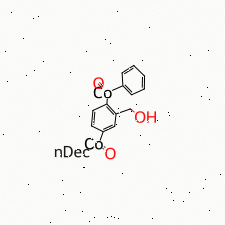 CCCCCCCCC[CH2][Co](=[O])[c]1cc[c]([Co](=[O])[c]2ccccc2)c(CO)c1